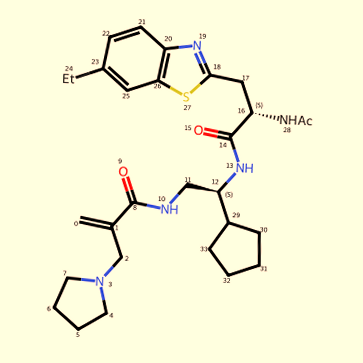 C=C(CN1CCCC1)C(=O)NC[C@@H](NC(=O)[C@H](Cc1nc2ccc(CC)cc2s1)NC(C)=O)C1CCCC1